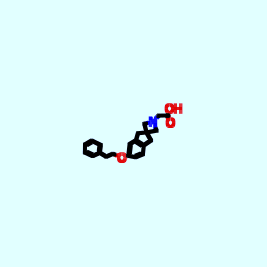 O=C(O)CN1CC2(Cc3ccc(OCCc4ccccc4)cc3C2)C1